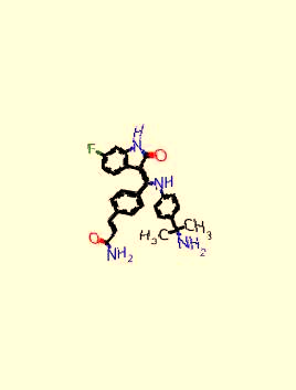 CC(C)(N)c1ccc(N/C(=C2\C(=O)Nc3cc(F)ccc32)c2ccc(/C=C/C(N)=O)cc2)cc1